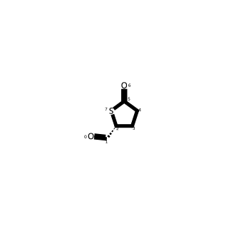 O=C[C@H]1CCC(=O)S1